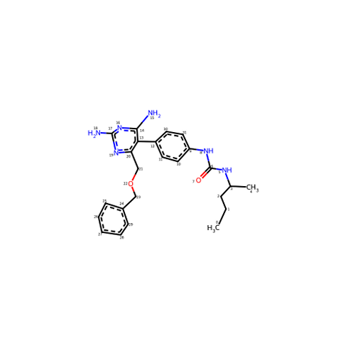 CCCC(C)NC(=O)Nc1ccc(-c2c(N)nc(N)nc2COCc2ccccc2)cc1